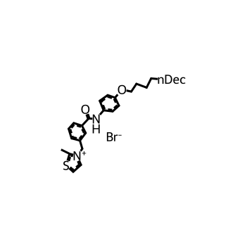 CCCCCCCCCCCCCCOc1ccc(NC(=O)c2cccc(C[n+]3ccsc3C)c2)cc1.[Br-]